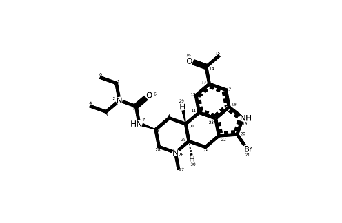 CCN(CC)C(=O)N[C@H]1C[C@@H]2c3cc(C(C)=O)cc4[nH]c(Br)c(c34)C[C@H]2N(C)C1